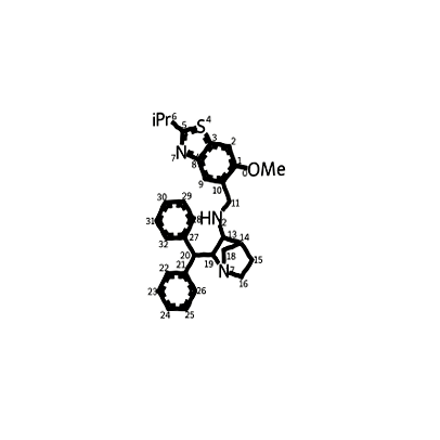 COc1cc2sc(C(C)C)nc2cc1CNC1C2CCN(C2)C1C(c1ccccc1)c1ccccc1